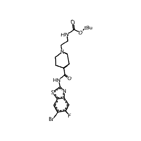 CC(C)(C)OC(=O)NCCN1CCC(C(=O)Nc2nc3cc(F)c(Br)cc3s2)CC1